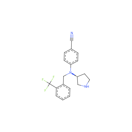 N#Cc1ccc(N(Cc2ccccc2C(F)(F)F)[C@H]2CCNC2)cc1